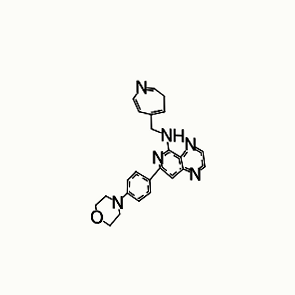 C1=CC(CNc2nc(-c3ccc(N4CCOCC4)cc3)cc3nccnc23)=CCC=N1